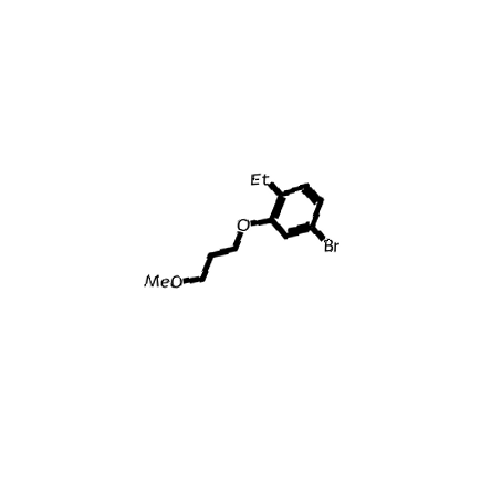 CCc1ccc(Br)cc1OCCCOC